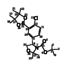 CC(C)(C)OC(=O)N1C(c2ccc(Cl)c(B3OC(C)(C)C(C)(C)O3)c2)COC1(C)C